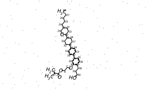 C=C(C)C(=O)OCCOc1cc(-c2ccc(C3CCC(C4CCC(CCCCC)CO4)CC3)cc2)ccc1CCCO